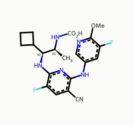 COc1ncc(Nc2nc(N[C@@H](C3CCC3)[C@H](C)NC(=O)O)c(F)cc2C#N)cc1F